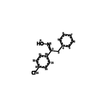 ON=C(Cc1ccccc1)c1ccc(Cl)cc1